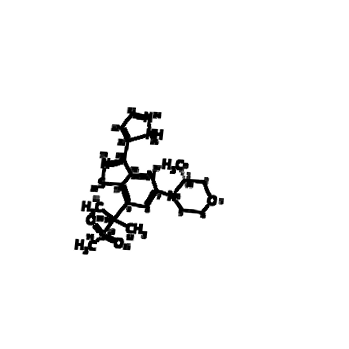 C[C@@H]1COCCN1c1cc(C(C)(C)S(C)(=O)=O)c2snc(-c3ccn[nH]3)c2n1